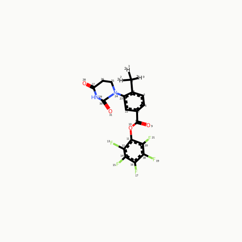 [2H]C([2H])([2H])c1ccc(C(=O)Oc2c(F)c(F)c(F)c(F)c2F)cc1N1CCC(=O)NC1=O